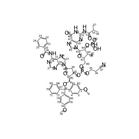 COc1ccc(C(OC[C@H]2O[C@@H](n3cnc4c(NC(=O)c5ccccc5)ncnc43)C[C@@H]2OP(OCCC#N)OCC2OC(n3cnc4c(=O)[nH]c(NC(=O)C(C)C)nc43)C(O[PH](=O)O)C2F)(c2ccccc2)c2ccc(OC)cc2)cc1